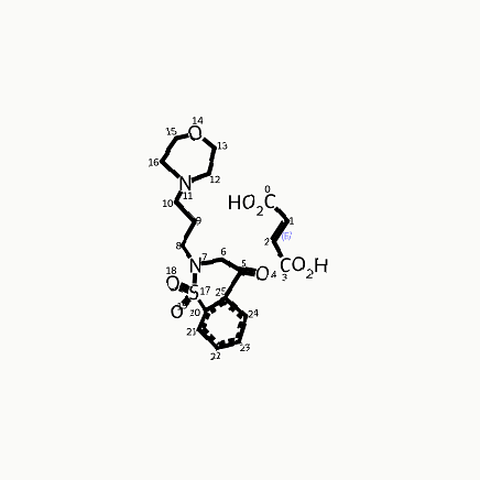 O=C(O)/C=C/C(=O)O.O=C1CN(CCCN2CCOCC2)S(=O)(=O)c2ccccc21